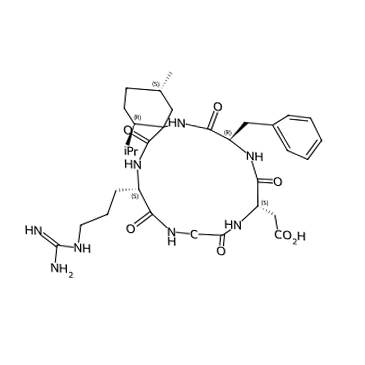 CC(C)[C@H]1CC[C@H](C)CC12NC(=O)[C@@H](Cc1ccccc1)NC(=O)[C@H](CC(=O)O)NC(=O)CNC(=O)[C@H](CCCNC(=N)N)NC2=O